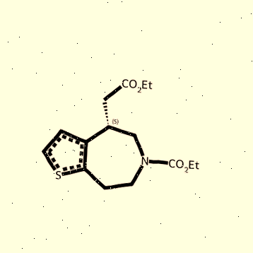 CCOC(=O)C[C@@H]1CN(C(=O)OCC)CCc2sccc21